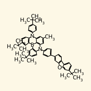 Cc1cc2c3c(c1)N(c1ccc(C(C)(C)C)cc1)c1ccc(C(C)(C)C)cc1B3c1cc(C(C)(C)C)ccc1N2c1ccc(-c2ccc3c(c2)oc2cc(C(C)(C)C)ccc23)cc1